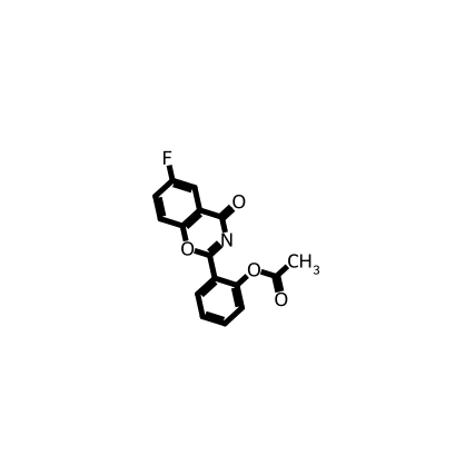 CC(=O)Oc1ccccc1-c1nc(=O)c2cc(F)ccc2o1